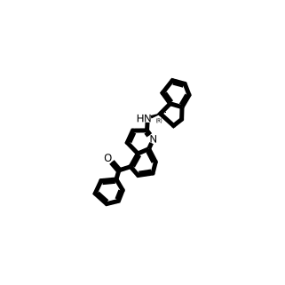 O=C(c1ccccc1)c1cccc2nc(N[C@@H]3CCc4ccccc43)ccc12